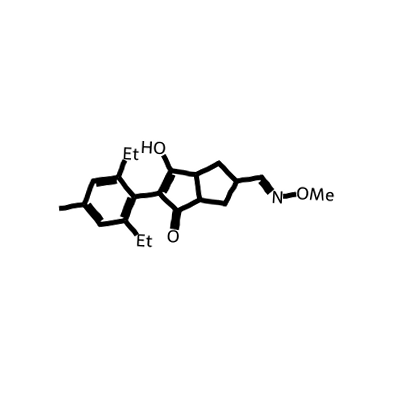 CCc1cc(C)cc(CC)c1C1=C(O)C2CC(C=NOC)CC2C1=O